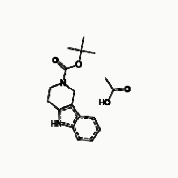 CC(=O)O.CC(C)(C)OC(=O)N1CCc2[nH]c3ccccc3c2C1